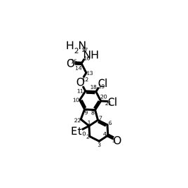 CCC12CCC(=O)C=C1c1c(cc(OCC(=O)NN)c(Cl)c1Cl)C2